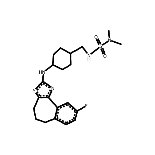 CN(C)S(=O)(=O)NCC1CCC(Nc2nc3c(s2)CCCc2ccc(F)cc2-3)CC1